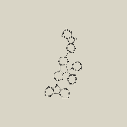 c1ccc([Si]2(c3ccccc3)c3cc(-c4ccc5oc6cccnc6c5c4)ccc3-c3ccc(-n4c5ccccc5c5ccccc54)cc32)cc1